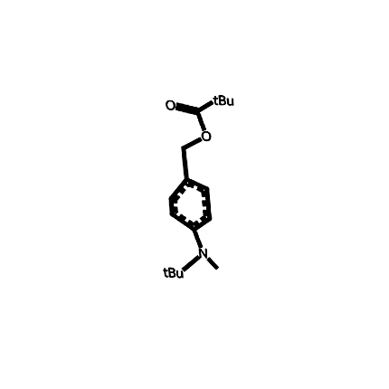 CN(c1ccc(COC(=O)C(C)(C)C)cc1)C(C)(C)C